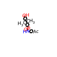 CC(=O)c1ccc(NC(=O)Oc2ccc(C(C)(C)c3ccc(O)cc3)cc2)cc1